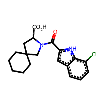 O=C(O)C1CC2(CCCCC2)CN1C(=O)c1cc2cccc(Cl)c2[nH]1